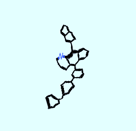 c1ccc(-c2ccc(-c3cccc(-c4c5ccccc5c(-c5ccc6ccccc6c5)c5ncccc45)c3)cc2)cc1